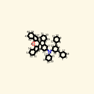 c1ccc(-c2cc(-c3ccccc3)cc(N(c3ccccc3)c3ccc4c(c3)-c3ccccc3C43c4ccc5ccccc5c4Oc4c3ccc3ccccc43)c2)cc1